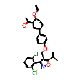 C=COC1C=CC(c2ccc(OCc3c(-c4c(Cl)cccc4Cl)noc3C(C)C)cc2)=CC1C(C)=O